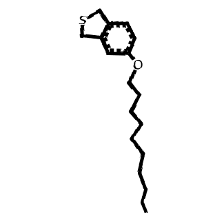 CCCCCCCCCCOc1ccc2c(c1)CSC2